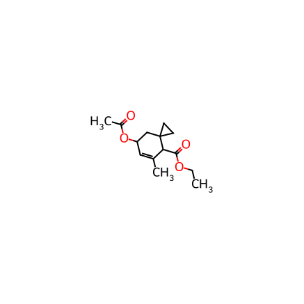 CCOC(=O)C1C(C)=CC(OC(C)=O)CC12CC2